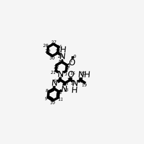 CO[C@H]1CN(c2nc3ccccc3nc2C(=O)NC(C)=N)CC[C@H]1NC1CCCCC1